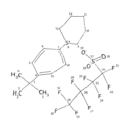 CC(C)(C)c1ccc([S+]2CCCCC2)cc1.O=S(=O)([O-])C(F)(F)C(F)(F)C(F)(F)C(F)(F)F